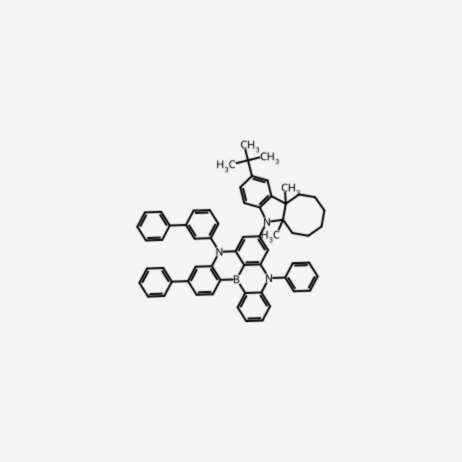 CC(C)(C)c1ccc2c(c1)C1(C)CCCCCCC1(C)N2c1cc2c3c(c1)N(c1cccc(-c4ccccc4)c1)c1cc(-c4ccccc4)ccc1B3c1ccccc1N2c1ccccc1